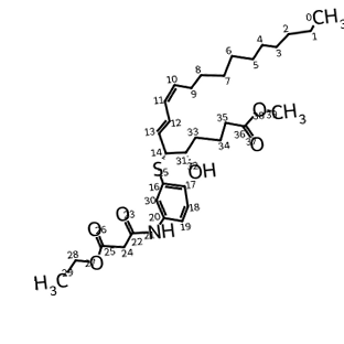 CCCCCCCCCC/C=C\C=C\[C@@H](Sc1cccc(NC(=O)CC(=O)OCC)c1)[C@@H](O)CCCC(=O)OC